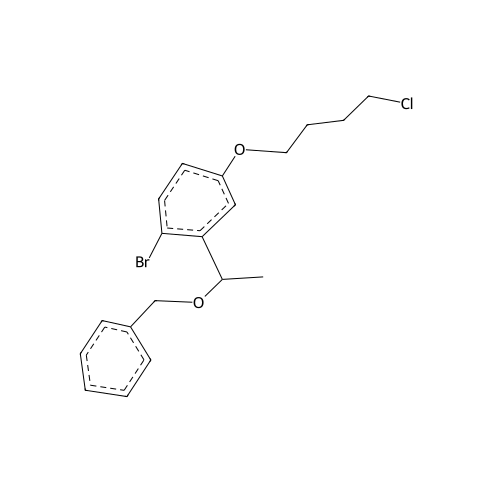 CC(OCc1ccccc1)c1cc(OCCCCCl)ccc1Br